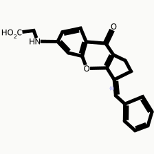 O=C(O)CNc1ccc2c(=O)c3c(oc2c1)/C(=C/c1ccccc1)CC3